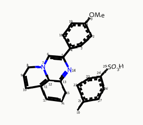 COc1ccc(C2=CN3CC=CC4=C3C(=N2)CC=C4)cc1.Cc1ccc(S(=O)(=O)O)cc1